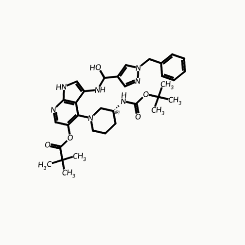 CC(C)(C)OC(=O)N[C@@H]1CCCN(c2c(OC(=O)C(C)(C)C)cnc3[nH]cc(NC(O)c4cnn(Cc5ccccc5)c4)c23)C1